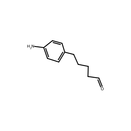 Nc1ccc(CCCCC=O)cc1